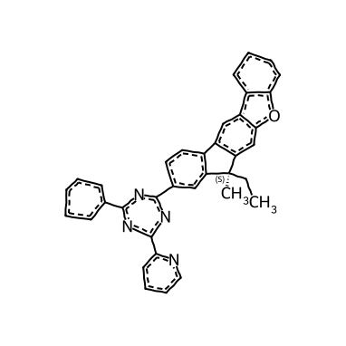 CC[C@@]1(C)c2cc(-c3nc(-c4ccccc4)nc(-c4ccccn4)n3)ccc2-c2cc3c(cc21)oc1ccccc13